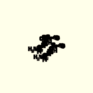 NCc1ccc(-c2cn3c(n2)sc2cc(C(=O)NCCCN4CCCCC4)ccc23)cc1C(F)F.NCc1ccc(-c2cn3c(n2)sc2cc(C(=O)NCCCN4CCCCC4)ccc23)cc1C(F)F.O=CO